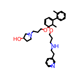 Cc1ccccc1C1=CC=CC(OCCCNCCc2cccnc2)(OCCCN2CC[C@@H](O)C2)C1C